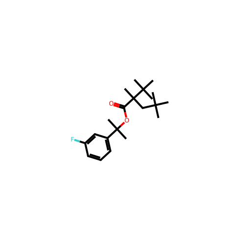 CC(C)(C)CC(C)(C(=O)OC(C)(C)c1cccc(F)c1)C(C)(C)C